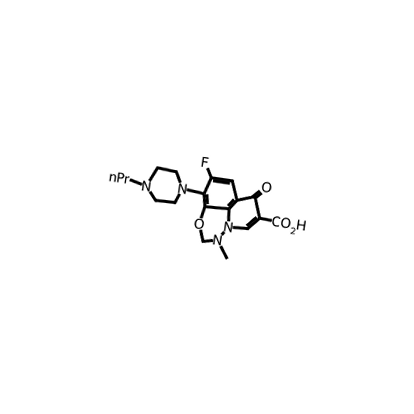 CCCN1CCN(c2c(F)cc3c(=O)c(C(=O)O)cn4c3c2OCN4C)CC1